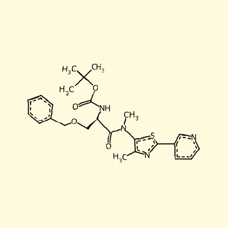 Cc1nc(-c2cccnc2)sc1N(C)C(=O)[C@@H](COCc1ccccc1)NC(=O)OC(C)(C)C